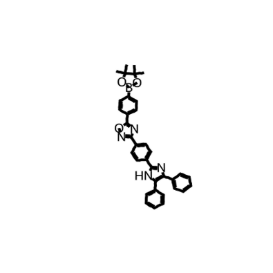 CC1(C)OB(c2ccc(-c3nc(-c4ccc(-c5nc(-c6ccccc6)c(-c6ccccc6)[nH]5)cc4)no3)cc2)OC1(C)C